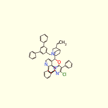 C=CC1C[N+]2(Cc3cc(-c4ccccc4)cc(-c4ccccc4)c3)CCC1CC2[C@@H](Oc1nc(-c2ccccc2)nc(Cl)c1-c1ccccc1)c1ccnc2ccccc12